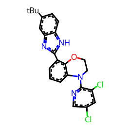 CC(C)(C)c1ccc2[nH]c(-c3cccc4c3OCCN4c3ncc(Cl)cc3Cl)nc2c1